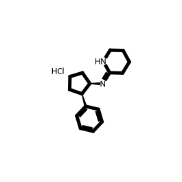 Cl.c1ccc([C@H]2CCC[C@H]2N=C2CCCCN2)cc1